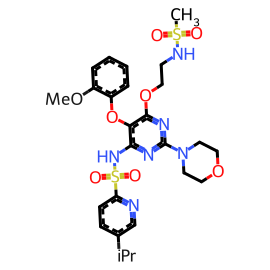 COc1ccccc1Oc1c(NS(=O)(=O)c2ccc(C(C)C)cn2)nc(N2CCOCC2)nc1OCCNS(C)(=O)=O